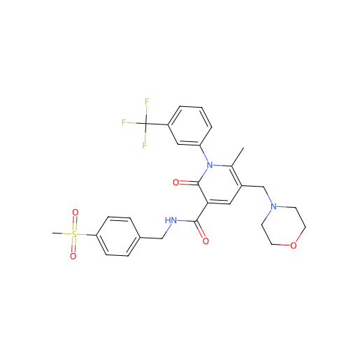 Cc1c(CN2CCOCC2)cc(C(=O)NCc2ccc(S(C)(=O)=O)cc2)c(=O)n1-c1cccc(C(F)(F)F)c1